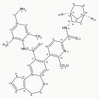 Cc1cc(CN)cc(C)c1NC(=O)c1cc2c(cc1-c1ccc(C(=O)N[C@H]3C[C@@H]4CC[C@H]3C4)nc1C(=O)O)OCCc1ccsc1-2